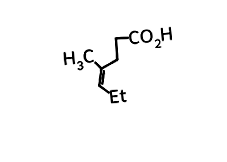 CCC=C(C)CCC(=O)O